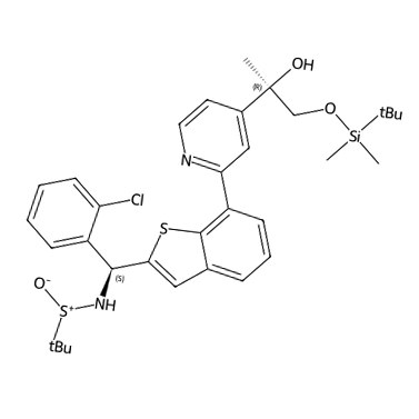 CC(C)(C)[S+]([O-])N[C@H](c1cc2cccc(-c3cc([C@@](C)(O)CO[Si](C)(C)C(C)(C)C)ccn3)c2s1)c1ccccc1Cl